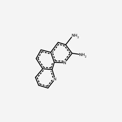 Nc1cc2ccc3cccnc3c2nc1N